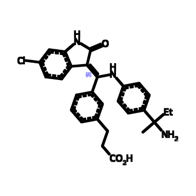 CCC(C)(N)c1ccc(N/C(=C2\C(=O)Nc3cc(Cl)ccc32)c2cccc(CCC(=O)O)c2)cc1